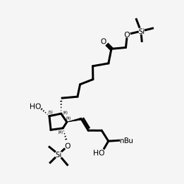 CCCCC(O)CC=C[C@@H]1[C@@H](CCCCCCC(=O)CO[Si](C)(C)C)[C@@H](O)C[C@H]1O[Si](C)(C)C